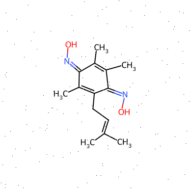 CC(C)=CCC1=C(C)C(=NO)C(C)=C(C)C1=NO